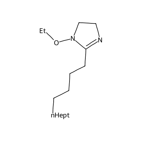 CCCCCCCCCCCC1=NCCN1OCC